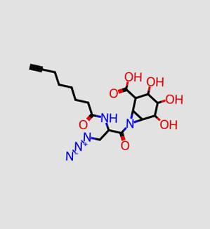 C#CCCCCCC(=O)NC(CN=[N+]=[N-])C(=O)N1C2C(O)C(O)C(O)C(C(=O)O)C21